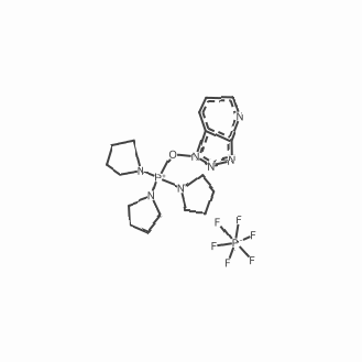 F[P-](F)(F)(F)(F)F.c1cnc2nnn(O[P+](N3CCCC3)(N3CCCC3)N3CCCC3)c2c1